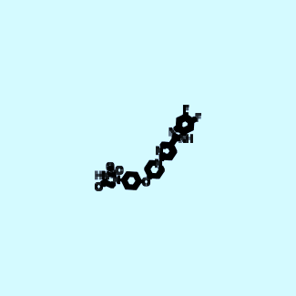 O=C1CN([C@H]2CC[C@H](OC3CCN(c4ccc(-c5nc6cc(F)c(F)cc6[nH]5)cn4)CC3)CC2)S(=O)(=O)N1